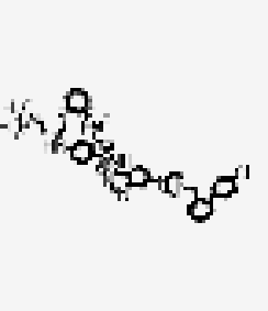 CN(C)CC[C@H](CSc1ccccc1)Nc1ccc(S(=O)(=O)Nc2ncnc3cc(N4CCN(Cc5ccccc5-c5ccc(Cl)cc5)CC4)ccc23)c(OC(F)(F)F)c1